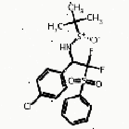 CC(C)(C)[S@+]([O-])NC(c1ccc(Cl)cc1)C(F)(F)S(=O)(=O)c1ccccc1